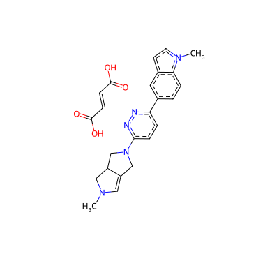 CN1C=C2CN(c3ccc(-c4ccc5c(ccn5C)c4)nn3)CC2C1.O=C(O)C=CC(=O)O